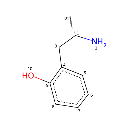 C[C@H](N)Cc1ccccc1O